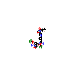 CC(C)c1cc(C(=O)N2CCOC3(CCN(Cc4cccc(CC(C)(C)NC[C@H](OC(=O)C(F)(F)F)c5ccc(OC(=O)C(F)(F)F)c6[nH]c(=O)ccc56)c4)CC3)C2)cs1